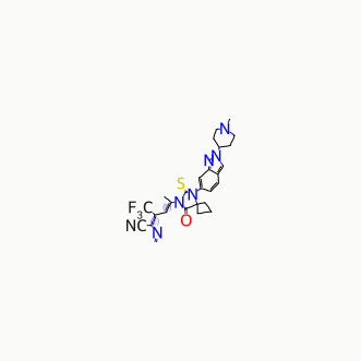 C=N/C(C#N)=C(\C=C(/C)N1C(=O)C2(CCC2)N(c2ccc3cn(C4CCN(C)CC4)nc3c2)C1=S)C(F)(F)F